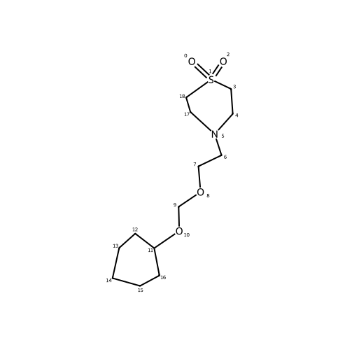 O=S1(=O)CCN(CCOCOC2CCCCC2)CC1